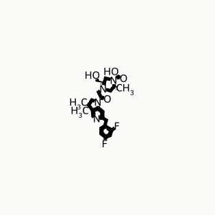 C[C@@H]1CN(CC(=O)N2CC(C)(C)c3cnc(Cc4ccc(F)cc4F)cc32)[C@@H](CO)CN1C(=O)O